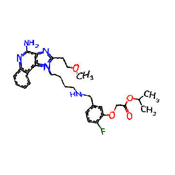 COCCc1nc2c(N)nc3ccccc3c2n1CCCCNCc1ccc(F)c(OCC(=O)OC(C)C)c1